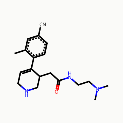 Cc1cc(C#N)ccc1C1=CCN[C]C1CC(=O)NCCN(C)C